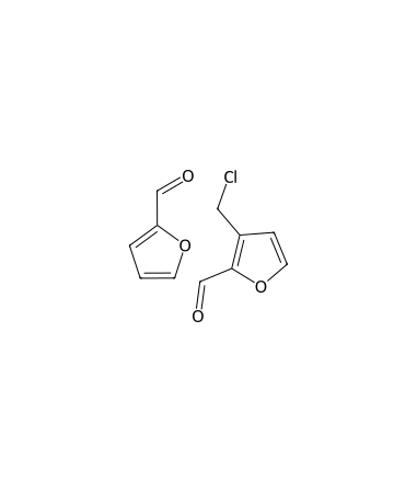 O=Cc1ccco1.O=Cc1occc1CCl